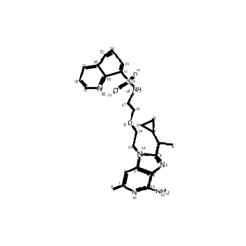 Cc1cc2c(nc(C(C)C3CC3)n2CCOCCNS(=O)(=O)c2cccc3cccnc23)c(N)n1